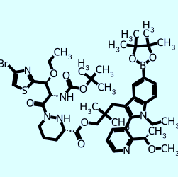 CCO[C@H](c1nc(Br)cs1)[C@H](NC(=O)OC(C)(C)C)C(=O)N1CCC[C@@H](C(=O)OCC(C)(C)Cc2c(-c3cccnc3[C@H](C)OC)n(CC)c3ccc(B4OC(C)(C)C(C)(C)O4)cc23)N1